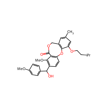 COc1ccc(C(O)c2ccc3c(c2OC)C(=O)OCc2cc(C)cc(OCCC(C)C)c2O3)cc1